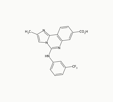 Cc1cn2c(Nc3cccc(C(F)(F)F)c3)nc3cc(C(=O)O)ccc3c2n1